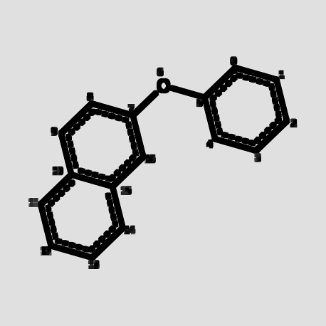 [c]1ccccc1Oc1ccc2ccccc2c1